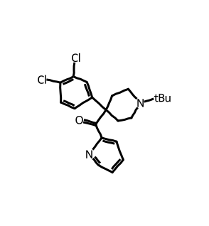 CC(C)(C)N1CCC(C(=O)c2ccccn2)(c2ccc(Cl)c(Cl)c2)CC1